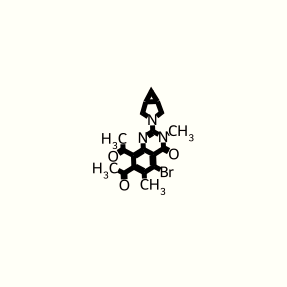 CC(=O)c1c(C)c(Br)c2c(=O)n(C)c(N3CC4CC4C3)nc2c1C(C)=O